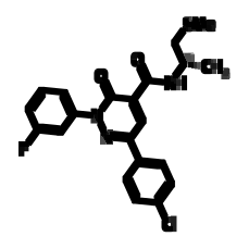 CSC[C@H](C)NC(=O)c1cc(-c2ccc(Cl)cc2)nn(-c2cccc(F)c2)c1=O